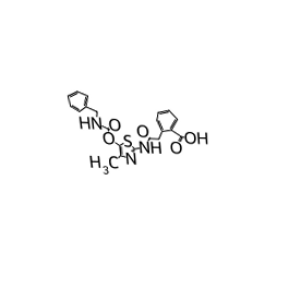 Cc1nc(NC(=O)Cc2ccccc2C(=O)O)sc1OC(=O)NCc1ccccc1